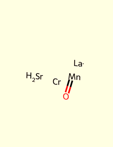 [Cr].[La].[O]=[Mn].[SrH2]